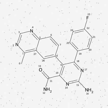 Cc1ncnc2ccc(-c3c(C(N)=O)nc(N)nc3-c3ccc(F)cc3)cc12